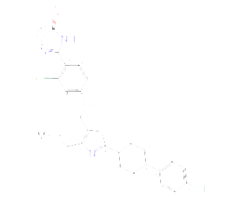 COCc1nc(C2CCC(c3ccc(Cl)cc3)CC2)sc1COc1ccc(-c2noc(=O)[nH]2)c(Cl)c1